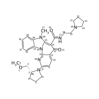 COC[C@H]1CCCN1c1ccc2c(=O)c(C(=O)NCCN3CCCC3)c3n(C)c4ccccc4n3c2n1